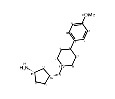 COc1ccc(C2CCN(C[C@@H]3CC[C@H](N)C3)CC2)cc1